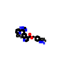 Cc1cccc(-c2[nH]cnc2-c2ccc3nccc(C(=O)OC[C@H]4CC[C@@](C)(N)CC4)c3c2)n1